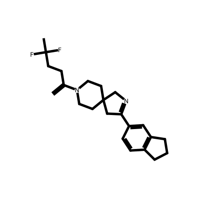 C=C(CCC(C)(F)F)N1CCC2(CC1)CN=C(c1ccc3c(c1)CCC3)C2